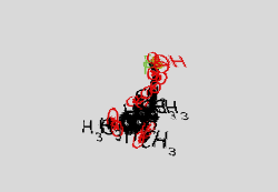 CC(=O)OC1CCC2(C)[C@@H](C1)CC(OC(C)=O)[C@@H]1[C@@H]2CC(OC(C)=O)[C@]2(C)[C@@H]([C@H](C)CCC(=O)OCC(=O)OCC(F)(F)S(=O)(=O)O)CC[C@@H]12